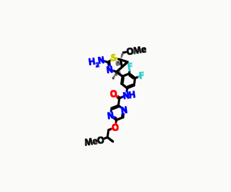 COC[C@]12CC1[C@@](C)(c1cc(NC(=O)c3cnc(OCC(C)OC)cn3)cc(F)c1F)N=C(N)S2